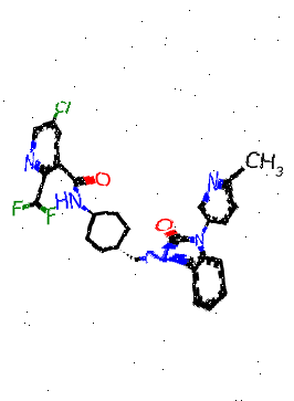 Cc1ccc(-n2c(=O)n(C[C@H]3CC[C@H](NC(=O)c4cc(Cl)cnc4C(F)F)CC3)c3ccccc32)cn1